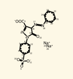 O=C([O-])C1=NN(c2ccc(S(=O)(=O)[O-])cc2)C(=O)C1N=Nc1ccccc1.[Na+].[Na+]